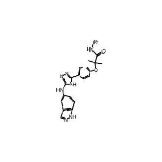 C=C(/C=C\C(=C/C)c1nnc(Nc2ccc3[nH]ncc3c2)[nH]1)OC(C)(C)C(=O)NC(C)C